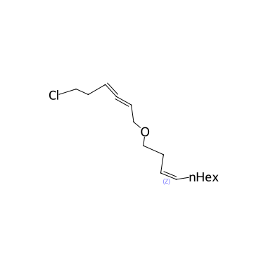 CCCCCC/C=C\CCOCC=C=CCCCl